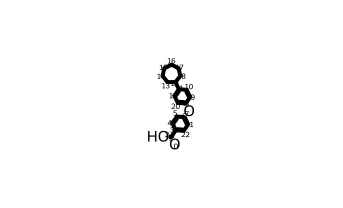 O=C(O)c1ccc(Oc2ccc(C3CCCCCC3)cc2)cc1